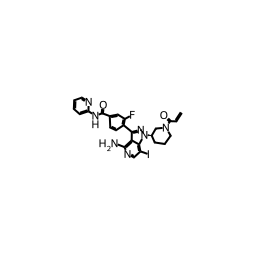 C=CC(=O)N1CCC[C@@H](n2nc(-c3ccc(C(=O)Nc4ccccn4)cc3F)c3c(N)ncc(I)c32)C1